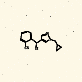 CC[C@H](c1cnn(CC2CC2)c1)c1ccccc1C#N